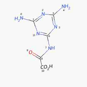 Nc1nc(N)nc(NC(=O)C(=O)O)n1